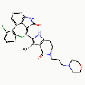 Cc1c(/C=C2\C(=O)Nc3cccc(-c4c(F)cccc4F)c32)[nH]c2c1C(=O)N(CCCN1CCOCC1)CC2